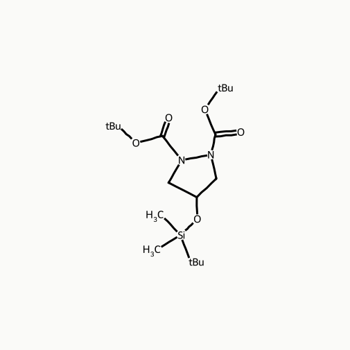 CC(C)(C)OC(=O)N1CC(O[Si](C)(C)C(C)(C)C)CN1C(=O)OC(C)(C)C